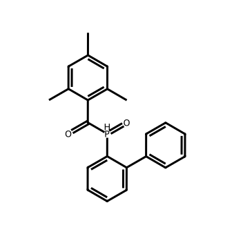 Cc1cc(C)c(C(=O)[PH](=O)c2ccccc2-c2ccccc2)c(C)c1